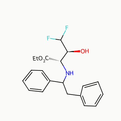 CCOC(=O)[C@@H](NC(Cc1ccccc1)c1ccccc1)[C@H](O)C(F)F